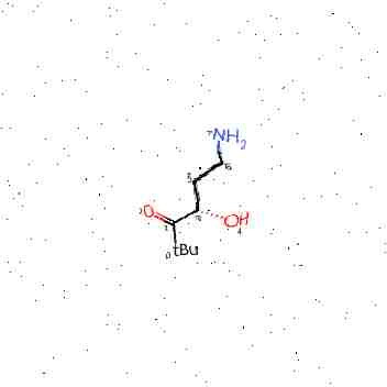 CC(C)(C)C(=O)[C@@H](O)CCN